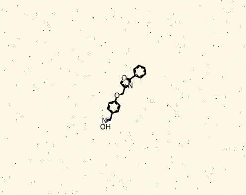 O/N=C/c1ccc(OCc2coc(-c3ccccc3)n2)cc1